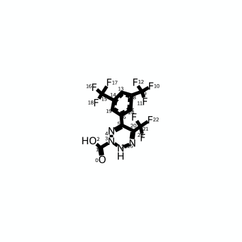 O=C(O)N1N=C(c2cc(C(F)(F)F)cc(C(F)(F)F)c2)C(C(F)(F)F)=NN1